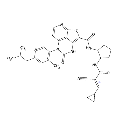 Cc1cc(CC(C)C)ncc1N1C(=O)Nc2c(C(=O)NC3CCCC3NC(=O)/C(C#N)=C/C3CC3)sc3nccc1c23